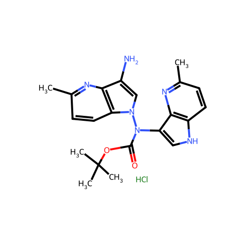 Cc1ccc2[nH]cc(N(C(=O)OC(C)(C)C)n3cc(N)c4nc(C)ccc43)c2n1.Cl